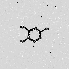 Cc1nc(C#N)ncc1N